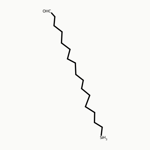 O=CCCCCCCCCCCCCCCC[SiH3]